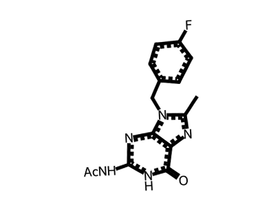 CC(=O)Nc1nc2c(nc(C)n2Cc2ccc(F)cc2)c(=O)[nH]1